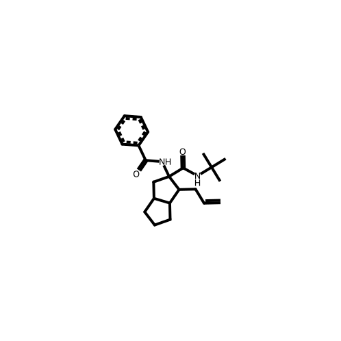 C=CCC1C2CCCC2CC1(NC(=O)c1ccccc1)C(=O)NC(C)(C)C